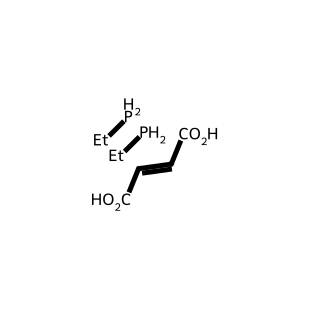 CCP.CCP.O=C(O)C=CC(=O)O